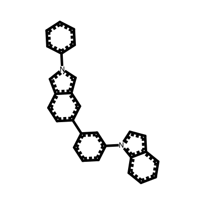 c1ccc(-n2cc3ccc(-c4cccc(-n5ccc6ccccc65)c4)cc3c2)cc1